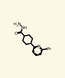 CC(C)c1cccc(C2CCC(C(=O)NN)CC2)n1